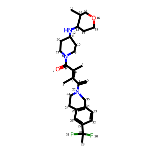 C=C(/C(C)=C(\C)C(=O)N1CCC(NC2CCOCC2C)CC1)N1CCc2cc(C(C)(F)F)ccc2C1